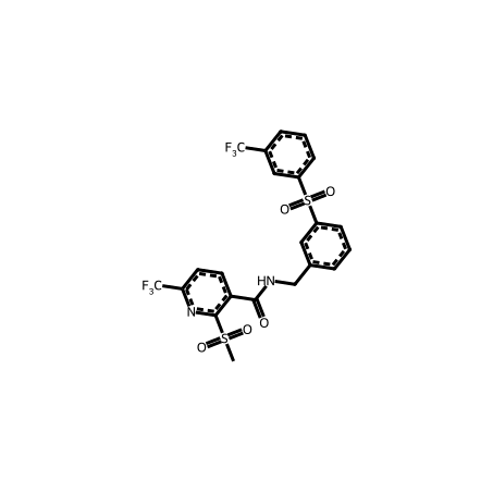 CS(=O)(=O)c1nc(C(F)(F)F)ccc1C(=O)NCc1cccc(S(=O)(=O)c2cccc(C(F)(F)F)c2)c1